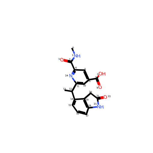 CNC(=O)c1cc(C(=O)O)cc(C(C)c2cccc3c2CC(=O)N3)n1